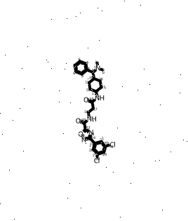 CN(C)C(c1ccccc1)C1CCC(NC(=O)CCNC(=O)c2nc(-c3cc(Cl)cc(Cl)c3)no2)CC1